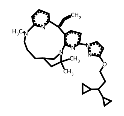 C=C=C1c2cccc(n2)N(C)CCCC2CN(c3nc(-n4ccc(OCCC(C5CC5)C5CC5)n4)ccc31)C(C)(C)C2